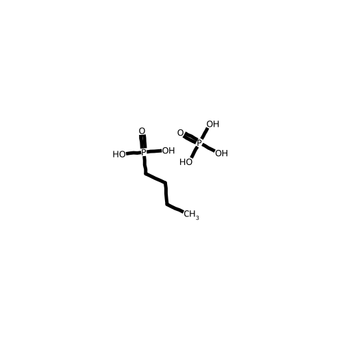 CCCCP(=O)(O)O.O=P(O)(O)O